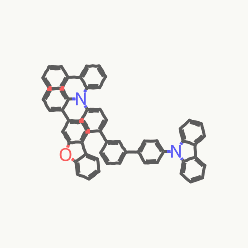 c1ccc(-c2ccccc2N(c2ccc(-c3cccc(-c4ccc(-n5c6ccccc6c6ccccc65)cc4)c3)cc2)c2ccccc2-c2ccc3c(c2)oc2ccccc23)cc1